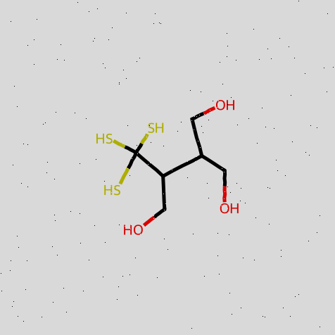 OCC(CO)C(CO)C(S)(S)S